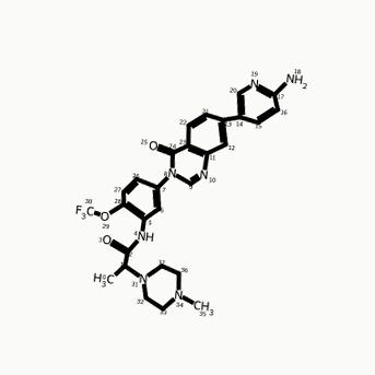 CC(C(=O)Nc1cc(-n2cnc3cc(-c4ccc(N)nc4)ccc3c2=O)ccc1OC(F)(F)F)N1CCN(C)CC1